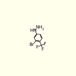 NNc1ccc(C(F)(F)F)c(Br)c1